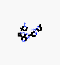 Cc1cccc(Nc2cc(-c3nc(N[C@H]4CCNCC4(C)C)c4c(C5=CC=C5)cncc4n3)ccn2)n1